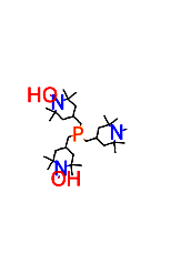 CN1C(C)(C)CC(CP(CC2CC(C)(C)N(O)C(C)(C)C2)CC2CC(C)(C)N(O)C(C)(C)C2)CC1(C)C